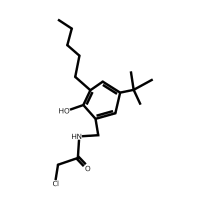 CCCCCc1cc(C(C)(C)C)cc(CNC(=O)CCl)c1O